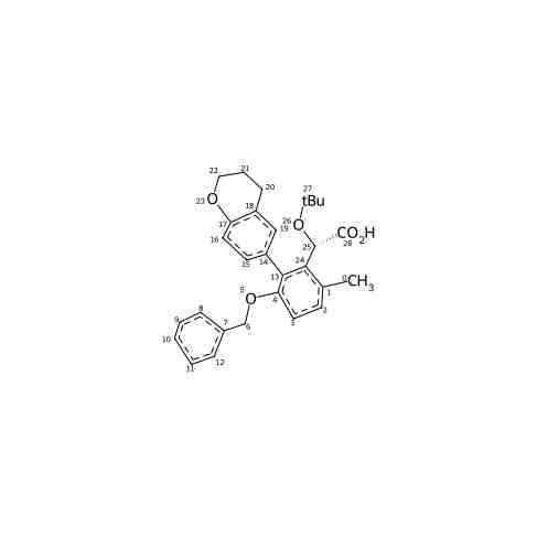 Cc1ccc(OCc2ccccc2)c(-c2ccc3c(c2)CCCO3)c1[C@H](OC(C)(C)C)C(=O)O